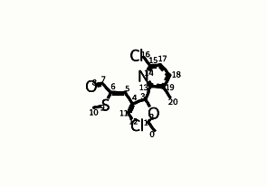 CCOC(C(/C=C(/C=O)SC)=C\Cl)c1nc(Cl)ccc1C